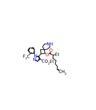 C=CCCCCC(CC)C(=O)OC1C(c2c(C(=O)OCC)cnn2-c2ccccc2C(F)(F)F)CC12CCNCC2